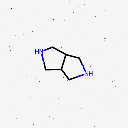 [C]1NCC2CNCC12